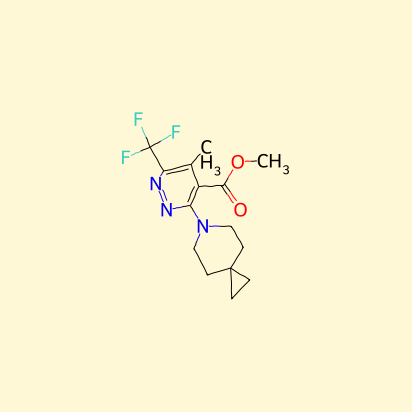 COC(=O)c1c(N2CCC3(CC2)CC3)nnc(C(F)(F)F)c1C